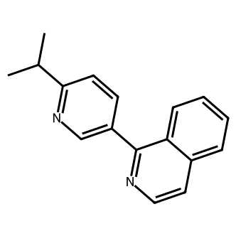 CC(C)c1ccc(-c2nccc3ccccc23)cn1